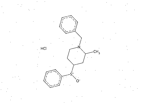 CC1CC([S+]([O-])c2ccccc2)CCN1Cc1ccccc1.Cl